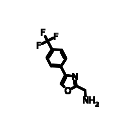 NCc1nc(-c2ccc(C(F)(F)F)cc2)co1